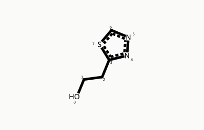 OCCc1nn[c]s1